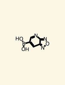 OB(O)c1cnc2nonc2c1